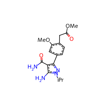 COC(=O)Cc1ccc(-c2nn(C(C)C)c(N)c2C(N)=O)cc1OC